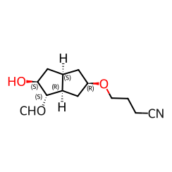 N#CCCCO[C@@H]1C[C@@H]2C[C@H](O)[C@@H](C=O)[C@@H]2C1